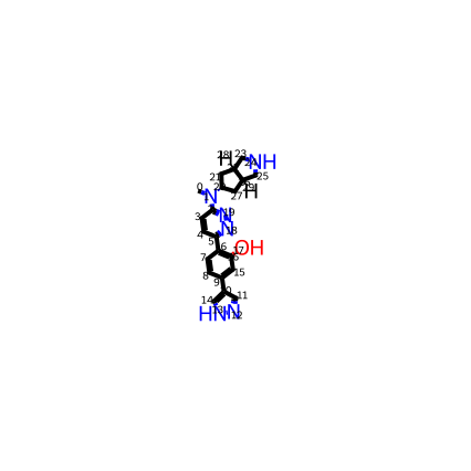 CN(c1ccc(-c2ccc(-c3cn[nH]c3)cc2O)nn1)[C@@H]1C[C@H]2CNC[C@H]2C1